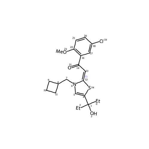 CCC(O)(CC)C1=CN(CC2CCC2)/C(=C\C(=O)c2cc(Cl)ccc2OC)S1